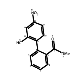 CNC(=O)c1ccccc1-c1ccc([N+](=O)[O-])cc1C#N